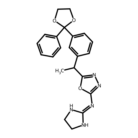 CC(c1cccc(C2(c3ccccc3)OCCO2)c1)c1nnc(N=C2NCCN2)o1